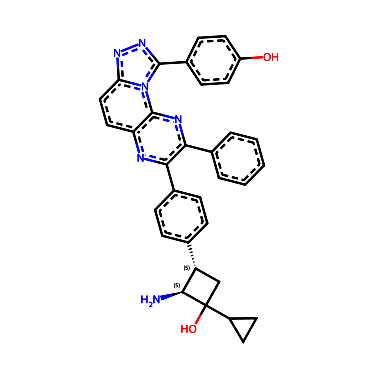 N[C@H]1[C@H](c2ccc(-c3nc4ccc5nnc(-c6ccc(O)cc6)n5c4nc3-c3ccccc3)cc2)CC1(O)C1CC1